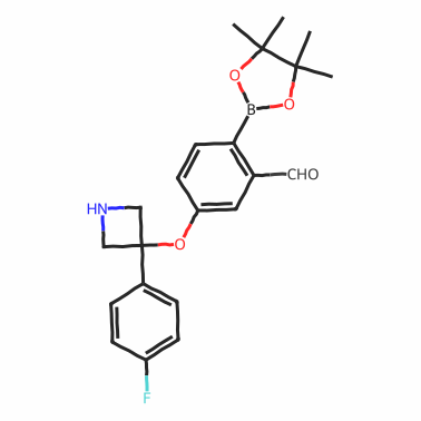 CC1(C)OB(c2ccc(OC3(c4ccc(F)cc4)CNC3)cc2C=O)OC1(C)C